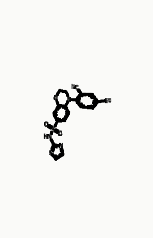 CCc1ccc(N2CCOc3cc(S(=O)(=O)Nc4nccs4)ccc32)c(C#N)c1